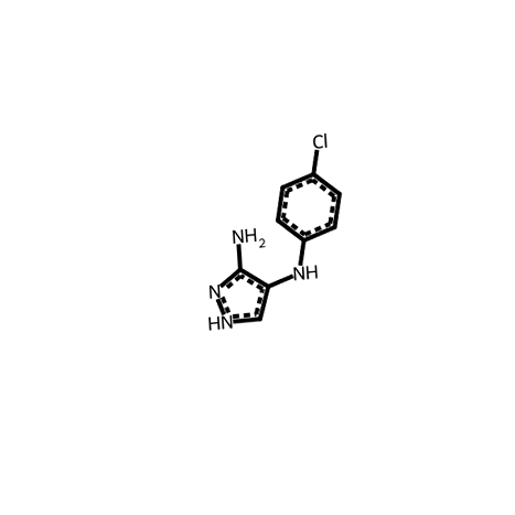 Nc1n[nH]cc1Nc1ccc(Cl)cc1